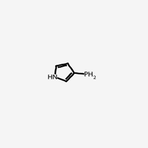 Pc1cc[nH]c1